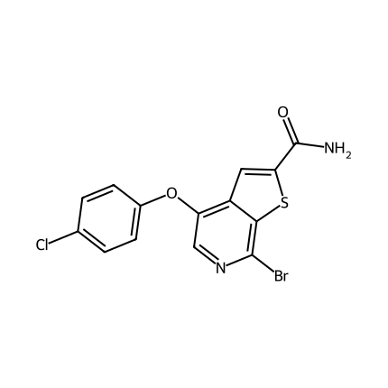 NC(=O)c1cc2c(Oc3ccc(Cl)cc3)cnc(Br)c2s1